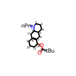 CCCN1CCCC2CC3=C(CCCC3OC(=O)C(C)(C)C)CC21